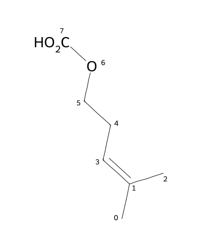 CC(C)=CCCOC(=O)O